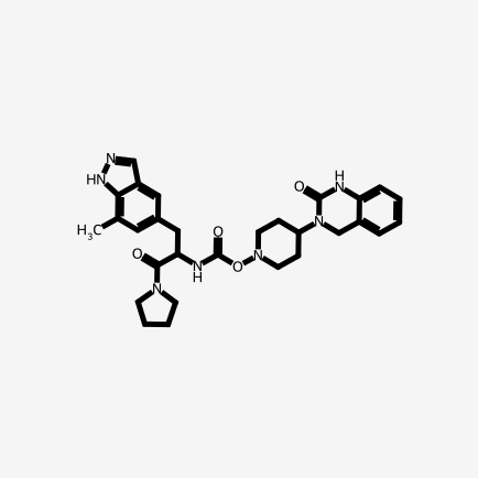 Cc1cc(CC(NC(=O)ON2CCC(N3Cc4ccccc4NC3=O)CC2)C(=O)N2CCCC2)cc2cn[nH]c12